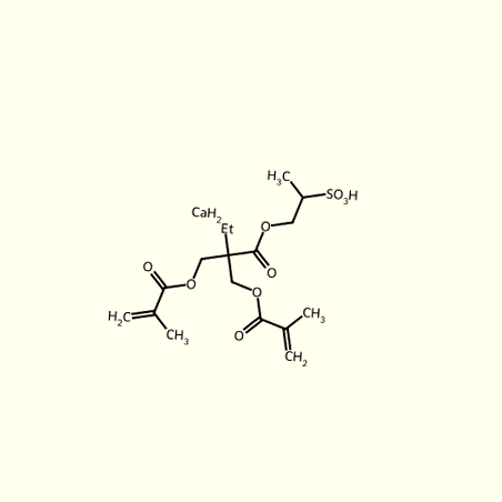 C=C(C)C(=O)OCC(CC)(COC(=O)C(=C)C)C(=O)OCC(C)S(=O)(=O)O.[CaH2]